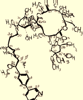 CC[C@H]1OC(=O)[C@H](C)[C@@H](O[C@H]2C[C@@](C)(OC)[C@@H](O)[C@H](C)O2)[C@H](C)[C@@H](O[C@@H]2O[C@H](C)C[C@H](N(C)CCC3=CN([C@H](CF)[C@H](OC)c4ccc(-c5cccnc5)cc4)NN3)[C@H]2O)[C@](C)(OC)C[C@@H](C)C(=O)[C@H](C)[C@@H](O)[C@]1(C)O